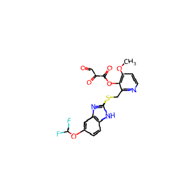 COc1ccnc(CSc2nc3cc(OC(F)F)ccc3[nH]2)c1OC(=O)C(=O)C=O